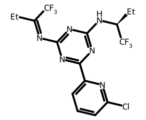 CC/C(=N/c1nc(N[C@@H](CC)C(F)(F)F)nc(-c2cccc(Cl)n2)n1)C(F)(F)F